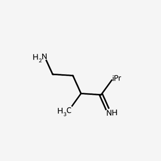 CC(C)C(=N)C(C)CCN